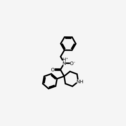 O=C([NH+]([O-])Cc1ccccc1)C1(c2ccccc2)CCNCC1